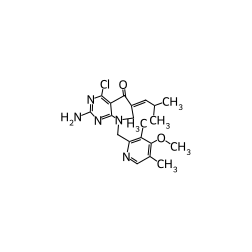 COc1c(C)cnc(CN2CC(=CC(C)C)C(=O)c3c(Cl)nc(N)nc32)c1C